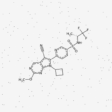 COc1ncc2c(C#N)c(-c3ccc(S(=O)(=O)N[C@H](C)C(F)(F)F)cn3)n(C3CCC3)c2n1